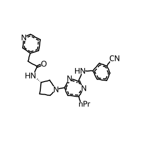 CCCc1cc(N2CC[C@H](NC(=O)Cc3cccnc3)C2)nc(Nc2cccc(C#N)c2)n1